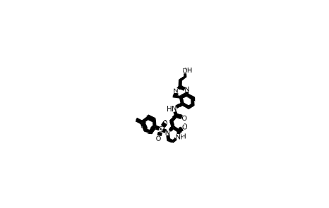 Cc1ccc(S(=O)(=O)N2CCNC(=O)C2CC(=O)NC2CCCc3nc(CCO)ncc32)cc1